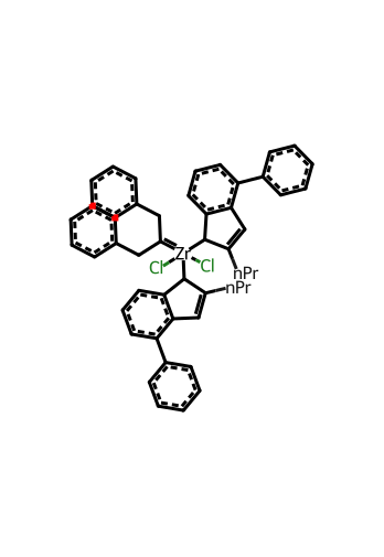 CCCC1=Cc2c(-c3ccccc3)cccc2[CH]1[Zr]([Cl])([Cl])(=[C](Cc1ccccc1)Cc1ccccc1)[CH]1C(CCC)=Cc2c(-c3ccccc3)cccc21